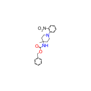 CC1(NC(=O)OCc2ccccc2)CCN(c2ccccc2[N+](=O)[O-])CC1